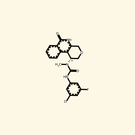 CN(C(=O)Nc1cc(F)cc(Cl)c1)[C@H]1COCc2[nH]c(=O)c3ccccc3c21